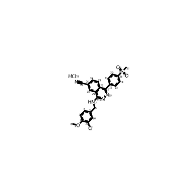 COc1ccc(CNc2nnc(-c3ccc(S(C)(=O)=O)cc3)c3ccc(C#N)cc23)cc1Cl.Cl